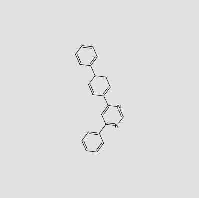 C1=CC(c2ccccc2)CC=C1c1cc(-c2ccccc2)ncn1